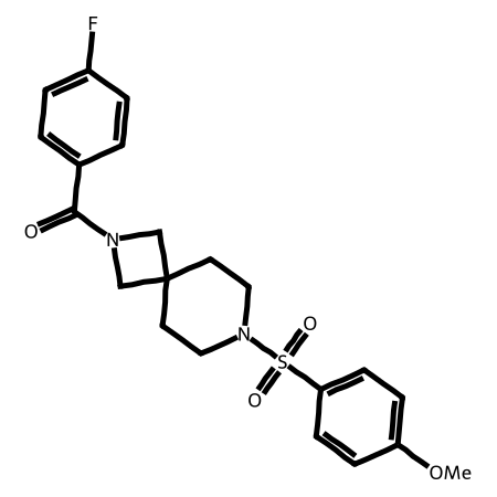 COc1ccc(S(=O)(=O)N2CCC3(CC2)CN(C(=O)c2ccc(F)cc2)C3)cc1